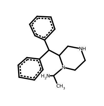 CC(N)N1CCNCC1C(c1ccccc1)c1ccccc1